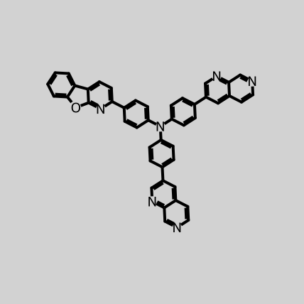 c1ccc2c(c1)oc1nc(-c3ccc(N(c4ccc(-c5cnc6cnccc6c5)cc4)c4ccc(-c5cnc6cnccc6c5)cc4)cc3)ccc12